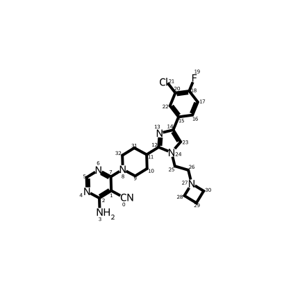 N#Cc1c(N)ncnc1N1CCC(c2nc(-c3ccc(F)c(Cl)c3)cn2CCN2CCC2)CC1